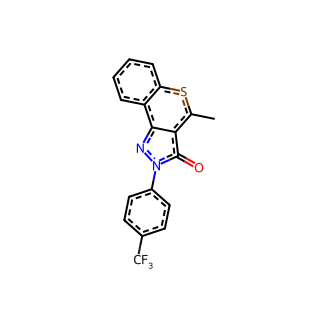 Cc1sc2ccccc2c2nn(-c3ccc(C(F)(F)F)cc3)c(=O)c1-2